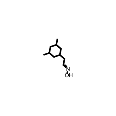 CC1CC(C)CC(CC=NO)C1